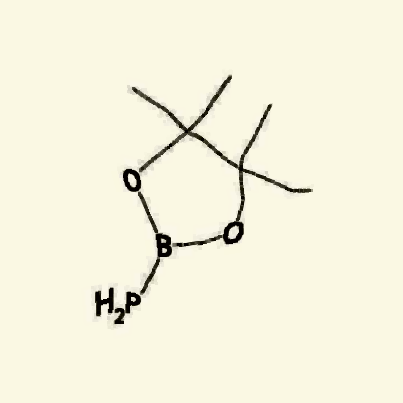 CC1(C)OB(P)OC1(C)C